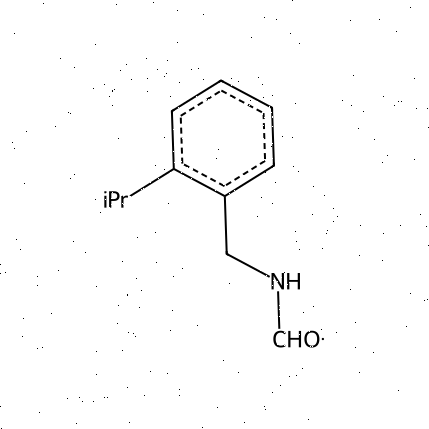 CC(C)c1ccccc1CN[C]=O